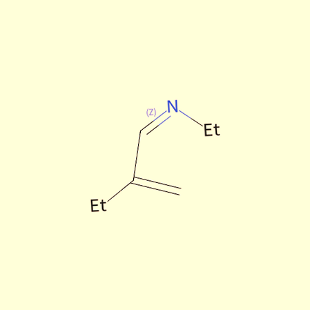 C=C(/C=N\CC)CC